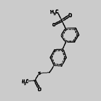 CC(=O)SCc1ccc(-c2cccc(S(C)(=O)=O)c2)cc1